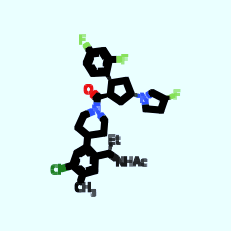 CC[C@H](NC(C)=O)c1cc(C)c(Cl)cc1C1CCN(C(=O)[C@@H]2C[C@@H](N3CC[C@H](F)C3)C[C@H]2c2ccc(F)cc2F)CC1